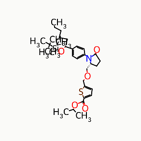 CCCCC[C@H](O[Si](C)(C)C(C)(C)C)c1ccc(N2C(=O)CC[C@@H]2COCc2ccc(C(=O)OC(C)C)s2)cc1